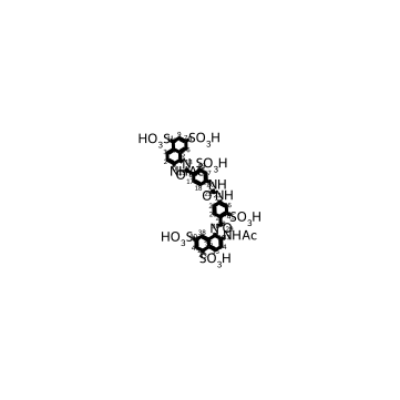 CC(=O)NC1=CC=C2C(=CC(S(=O)(=O)O)=CC2S(=O)(=O)O)C1=NC(=O)c1ccc(NC(=O)Nc2ccc(C(=O)N=C3C(NC(C)=O)=CC=C4C3=CC(S(=O)(=O)O)=CC4S(=O)(=O)O)c(S(=O)(=O)O)c2)cc1S(=O)(=O)O